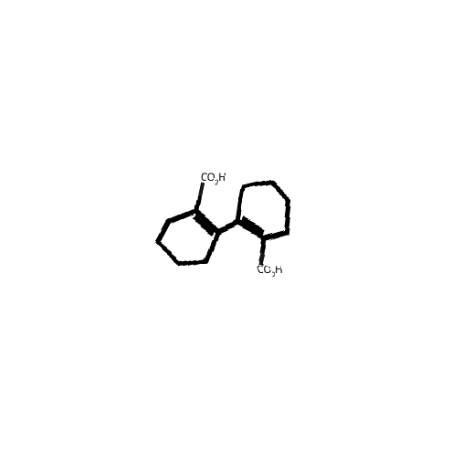 O=C(O)C1=C(C2=C(C(=O)O)CCCC2)CCCC1